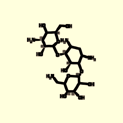 NCC1O[C@H](OC2C(N)CC(N)[C@@H](OC3O[C@H](CO)C(O)[C@@H](N)[C@H]3O)[C@H]2O)C(O)[C@@H](O)[C@@H]1O